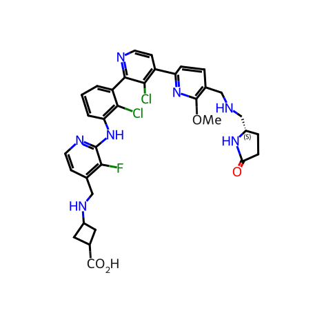 COc1nc(-c2ccnc(-c3cccc(Nc4nccc(CNC5CC(C(=O)O)C5)c4F)c3Cl)c2Cl)ccc1CNC[C@@H]1CCC(=O)N1